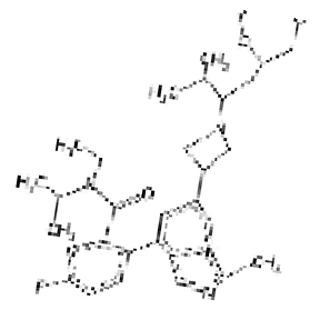 CCN(C(=O)c1cc(F)ccc1-c1cc(C2CN(C(CC3COCCO3)C(C)C)C2)cn2c(C)ncc12)C(C)C